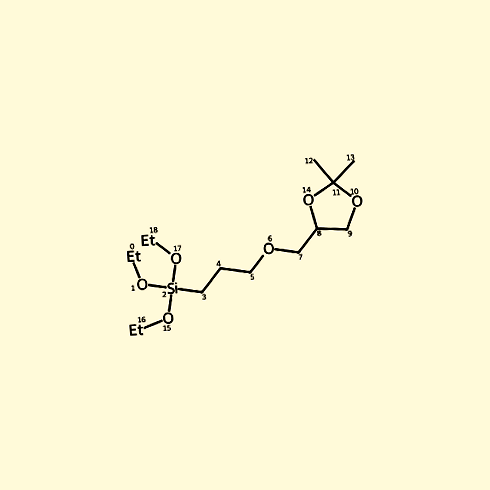 CCO[Si](CCCOCC1COC(C)(C)O1)(OCC)OCC